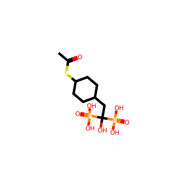 CC(=O)SC1CCC(CC(O)(P(=O)(O)O)P(=O)(O)O)CC1